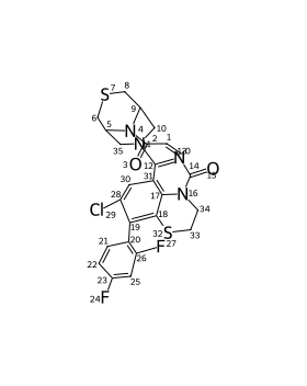 C=CC(=O)N1C2CSCC1CN(c1nc(=O)n3c4c(c(-c5ccc(F)cc5F)c(Cl)cc14)SCC3)C2